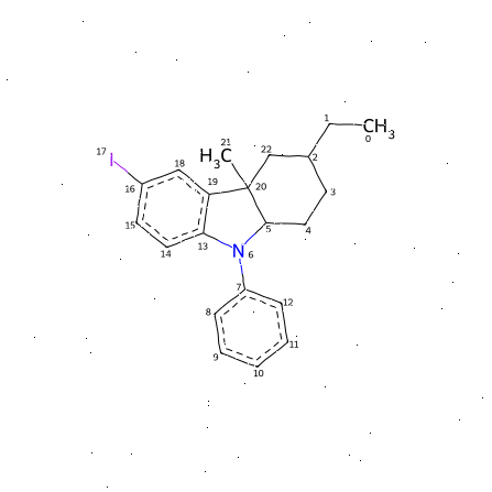 CCC1CCC2N(c3ccccc3)c3ccc(I)cc3C2(C)C1